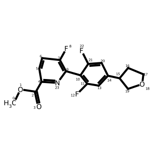 COC(=O)c1ccc(F)c(-c2c(F)cc(C3CCOC3)cc2F)n1